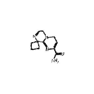 NC(=O)C1=CCN2CC=NC3(CCC3)C2=N1